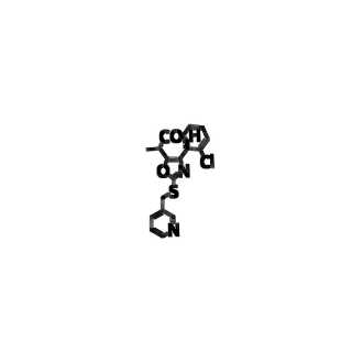 CC(C(=O)O)c1oc(SCc2cccnc2)nc1-c1ccccc1Cl